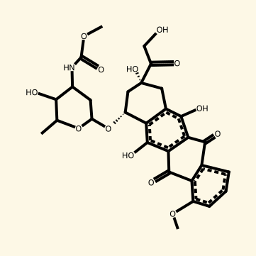 COC(=O)NC1CC(O[C@@H]2C[C@@](O)(C(=O)CO)Cc3c(O)c4c(c(O)c32)C(=O)c2c(OC)cccc2C4=O)OC(C)C1O